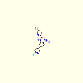 CCc1ccc(C(=O)Nc2cc(-c3ccc(F)nc3)ccc2N)nc1